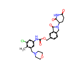 Cc1c(Cl)cc(NC(=O)OCc2ccc3c(c2)C(=O)N(C2CCC(=O)NC2=O)C3)cc1CN1CCOCC1